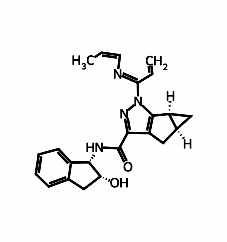 C=C/C(=N\C=C/C)n1nc(C(=O)N[C@H]2c3ccccc3C[C@H]2O)c2c1[C@H]1C[C@H]1C2